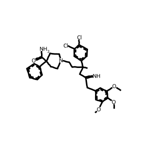 COc1cc(CC(=N)CC(C)(CCN2CCC(C(N)=O)(c3ccccc3)CC2)c2ccc(Cl)c(Cl)c2)cc(OC)c1OC